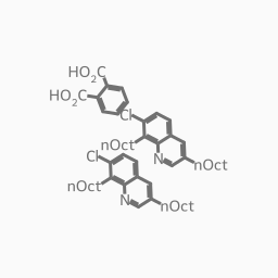 CCCCCCCCc1cnc2c(CCCCCCCC)c(Cl)ccc2c1.CCCCCCCCc1cnc2c(CCCCCCCC)c(Cl)ccc2c1.O=C(O)c1ccccc1C(=O)O